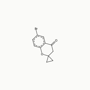 O=C1CC2(CC2)Oc2ccc(Br)cc21